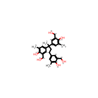 Cc1cc(CCC(C)(c2cc(C)c(O)c(CO)c2)c2cc(C)c(O)c(CO)c2)cc(CO)c1O